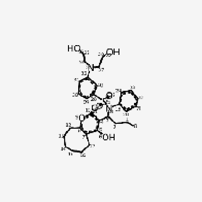 CCCC(c1c(O)c2c(oc1=O)CCCCCC2)N(c1ccccc1)S(=O)(=O)c1cccc(N(CCO)CCO)c1